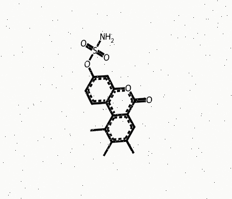 Cc1cc2c(=O)oc3cc(OS(N)(=O)=O)ccc3c2c(C)c1C